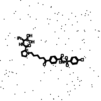 CC(C)C(NC(=O)[C@@H]1CCCN1CCCCCC(=O)c1ccc(C(=O)NS(=O)(=O)c2ccc(Cl)cc2)cc1)B(O)O